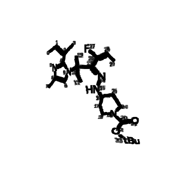 C/C=C(/C)c1nc(C)cn1C(C)(C)C(=N\NC1CCN(C(=O)OC(C)(C)C)CC1)/C(F)=C\C